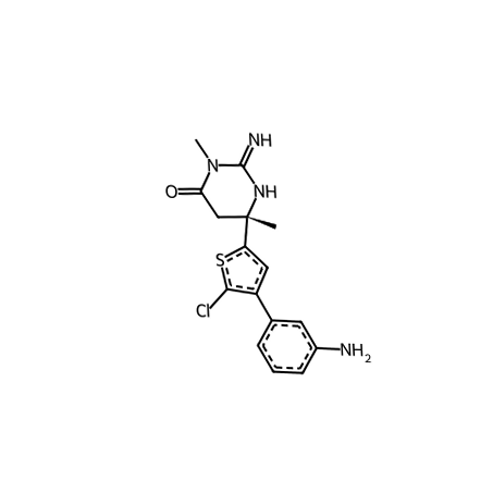 CN1C(=N)N[C@](C)(c2cc(-c3cccc(N)c3)c(Cl)s2)CC1=O